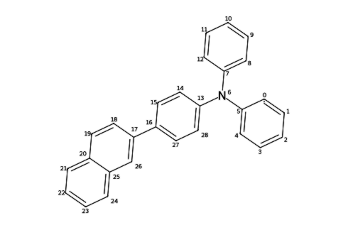 [c]1ccccc1N(c1ccccc1)c1ccc(-c2ccc3ccccc3c2)cc1